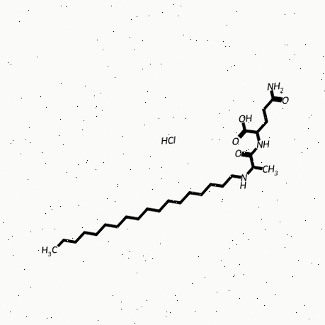 CCCCCCCCCCCCCCCCCCNC(C)C(=O)NC(CCC(N)=O)C(=O)O.Cl